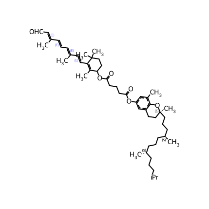 CC1=C(/C=C/C(C)=C/C=C/C(C)=C/C=O)C(C)(C)CCC1OC(=O)CCCC(=O)Oc1cc(C)c2c(c1)CC[C@](C)(CCC[C@@H](C)CCC[C@@H](C)CCCC(C)C)O2